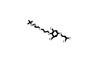 CC(C)(C)O/N=C/COCCCOc1c(Cl)cc(OCC=C(Cl)Cl)cc1Cl